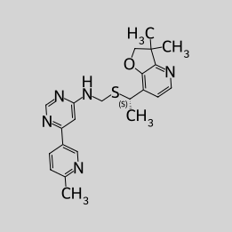 Cc1ccc(-c2cc(NCS[C@@H](C)c3ccnc4c3OCC4(C)C)ncn2)cn1